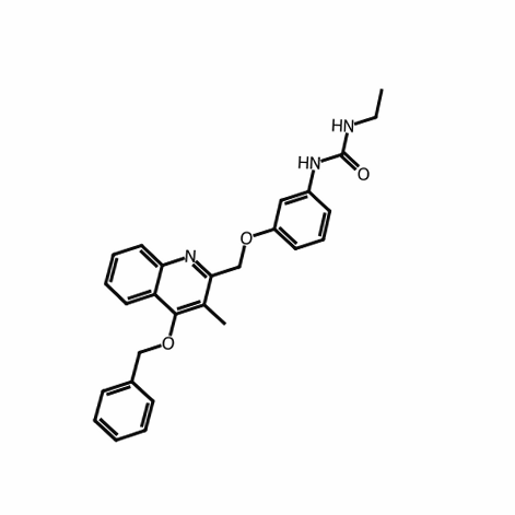 CCNC(=O)Nc1cccc(OCc2nc3ccccc3c(OCc3ccccc3)c2C)c1